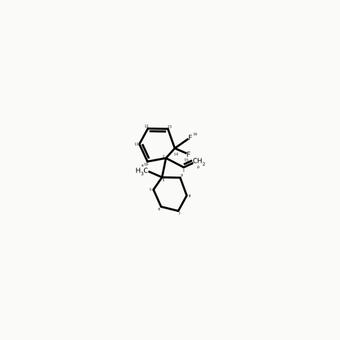 C=CC1(C2(C)CCCCC2)C=CC=CC1(F)F